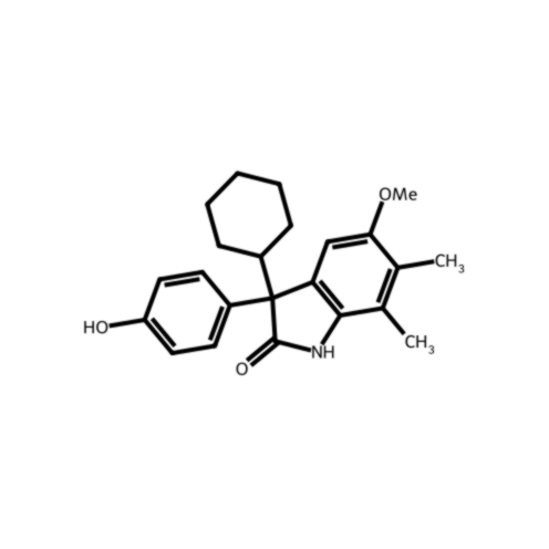 COc1cc2c(c(C)c1C)NC(=O)C2(c1ccc(O)cc1)C1CCCCC1